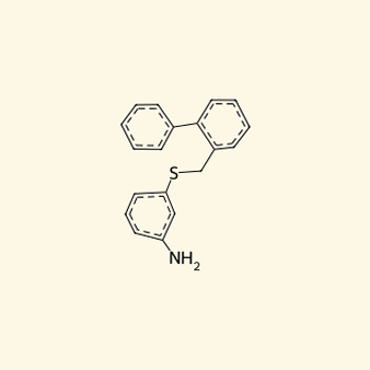 Nc1cccc(SCc2ccccc2-c2ccccc2)c1